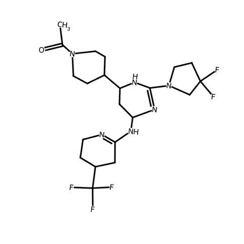 CC(=O)N1CCC(C2CC(NC3=NCCC(C(F)(F)F)C3)N=C(N3CCC(F)(F)C3)N2)CC1